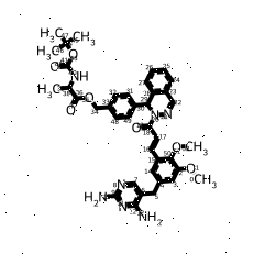 COc1cc(Cc2cnc(N)nc2N)cc(C=CC(=O)N2N=Cc3ccccc3C2c2ccc(COC(=O)C(C)NC(=O)OC(C)(C)C)cc2)c1OC